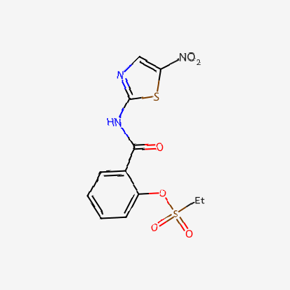 CCS(=O)(=O)Oc1ccccc1C(=O)Nc1ncc([N+](=O)[O-])s1